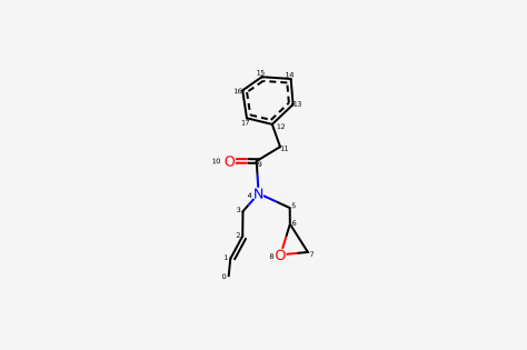 CC=CCN(CC1CO1)C(=O)Cc1ccccc1